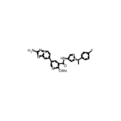 COc1ncc(-c2ccn3nc(N)nc3c2)cc1C(=O)Nc1cnn(C(C)c2ccc(F)cc2)c1